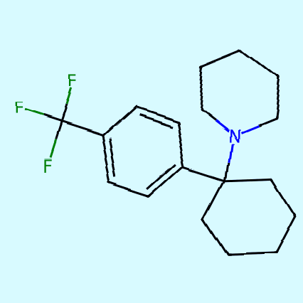 FC(F)(F)c1ccc(C2(N3CCCCC3)CCCCC2)cc1